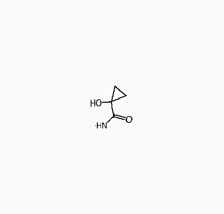 [NH]C(=O)C1(O)CC1